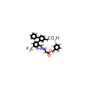 O=C(O)Cc1ccc(-c2ccccc2)c(-c2ccc(C(F)(F)F)cc2CNCCC(=O)OCc2ccccc2)c1